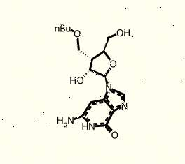 CCCCOC[C@H]1[C@@H](O)[C@H](n2cnc3c(=O)[nH]c(N)cc32)O[C@@H]1CO